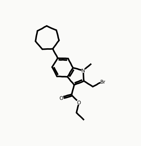 CCOC(=O)c1c(CBr)n(C)c2cc(C3CCCCCC3)ccc12